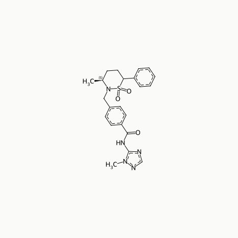 C[C@H]1CCC(c2ccccc2)S(=O)(=O)N1Cc1ccc(C(=O)Nc2ncnn2C)cc1